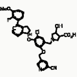 COc1cccc(-c2cccc3c2CC[C@@H]3Oc2cc(OCc3cncc(C#N)c3)c(CN3CC(O)C(C(=O)O)C3)cc2Cl)c1F